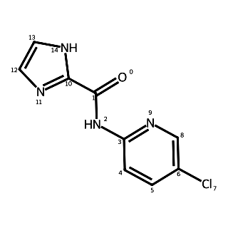 O=C(Nc1ccc(Cl)cn1)c1ncc[nH]1